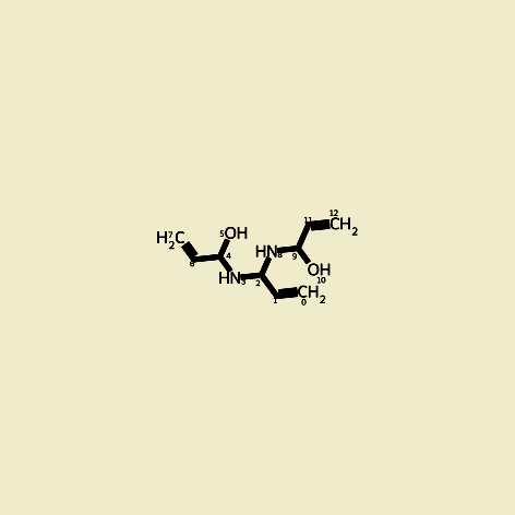 C=C[C](NC(O)C=C)NC(O)C=C